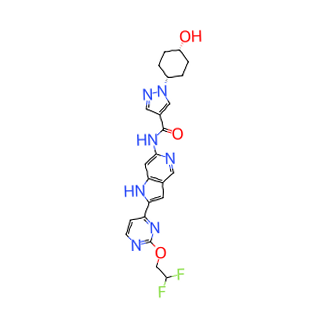 O=C(Nc1cc2[nH]c(-c3ccnc(OCC(F)F)n3)cc2cn1)c1cnn([C@H]2CC[C@@H](O)CC2)c1